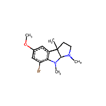 COc1cc(Br)c2c(c1)C1(C)CCN(C)C1N2C